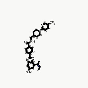 C/C=C(/C)c1cc(C#N)cc2nc(-c3ccc(C(=O)NCC4CCN(c5ccc(C(F)(F)F)cn5)CC4)cc3)oc12